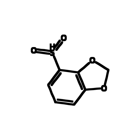 O=[SH](=O)c1cccc2c1OCO2